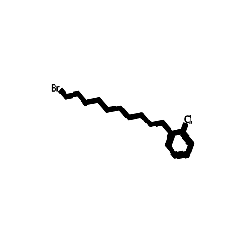 Clc1ccccc1CCCCCCCCCCBr